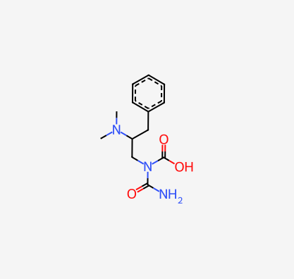 CN(C)C(Cc1ccccc1)CN(C(N)=O)C(=O)O